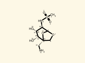 CS(=O)(=O)N[C@H]1C2OC[C@](CN)(O2)[C@H](O)[C@@H]1O